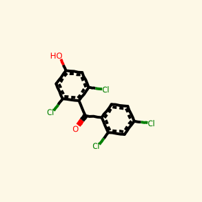 O=C(c1ccc(Cl)cc1Cl)c1c(Cl)cc(O)cc1Cl